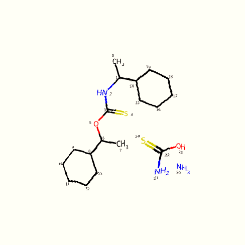 CC(NC(=S)OC(C)C1CCCCC1)C1CCCCC1.N.NC(O)=S